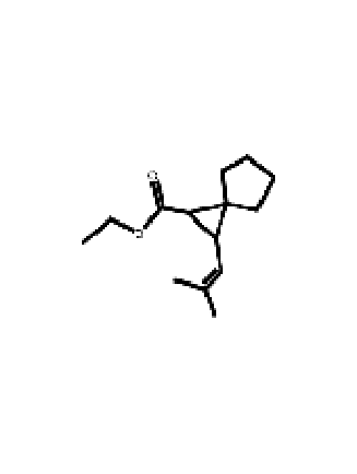 CCOC(=O)C1C(C=C(C)C)C12CCCC2